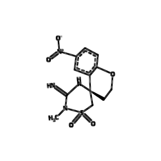 CN1C(=N)N[C@@]2(CCOc3ccc([N+](=O)[O-])cc32)CS1(=O)=O